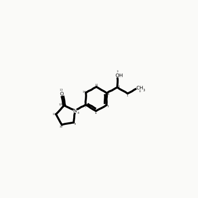 CCC(O)C1=CC=C(N2CCCC2=O)CC1